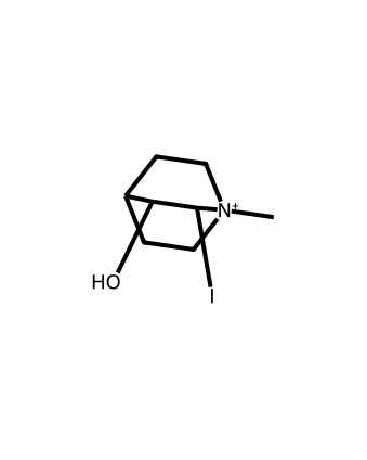 C[N+]12CCC(CC1)C(O)C2I